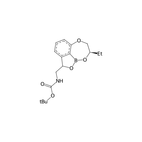 CC[C@@H]1COc2cccc3c2B(OC3CNC(=O)OC(C)(C)C)O1